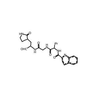 CC(C)C(NC(=O)c1ccc2ccccc2n1)C(=O)NCC(=O)NC(C=O)CC1CCNC1=O